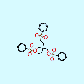 CCC(CCS(=O)(=O)c1ccccc1)(COS(=O)(=O)c1ccccc1)COS(=O)(=O)c1ccccc1